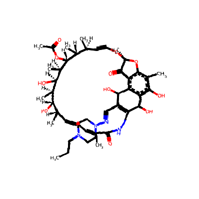 CCCN1CCN(/N=C/C2=C3NC(=O)/C(C)=C\C=C\[C@H](C)[C@H](O)[C@@H](C)[C@@H](O)[C@@H](C)[C@H](OC(C)=O)[C@H](C)[C@@H](C)/C=C/O[C@@]4(C)Oc5c(C)c(O)c(c(c5C4=O)C2O)C3O)CC1